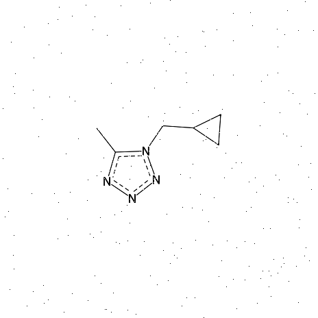 Cc1nnnn1CC1CC1